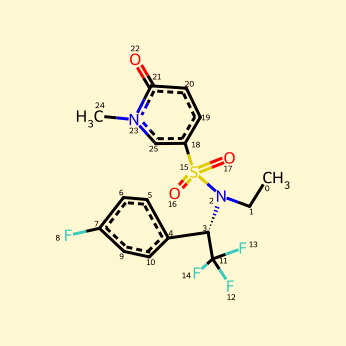 CCN([C@@H](c1ccc(F)cc1)C(F)(F)F)S(=O)(=O)c1ccc(=O)n(C)c1